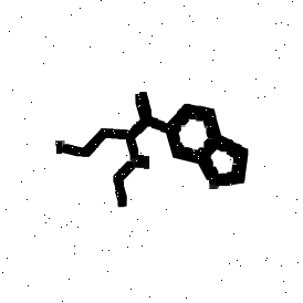 C=C(c1ccc2ccsc2c1)C(CCF)NCC